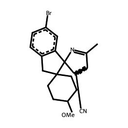 COC1CCC2(CC1)Cc1ccc(Br)cc1C21N=C(C)c2ccc(C#N)cc21